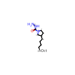 CCCCCCCCCCCCC1CCN(C(=O)NN)C1